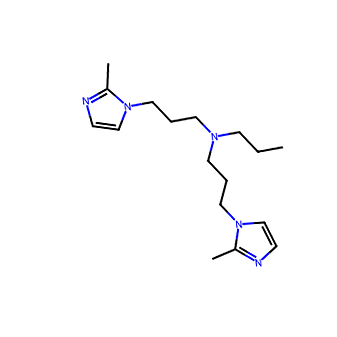 CCCN(CCCn1ccnc1C)CCCn1ccnc1C